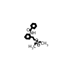 CCP(=O)(CC)OCCc1ccccc1NC(=O)c1ccccc1